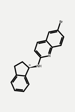 Brc1ccc2nc(N[C@@H]3CCc4ccccc43)ccc2c1